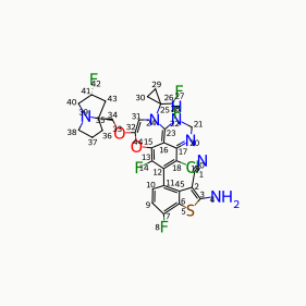 N#Cc1c(N)sc2c(F)ccc(-c3c(F)c4c5c(c3Cl)=NCNC=5N(C3(C(F)F)CC3)C=C(OC[C@@]35CCCN3C[C@H](F)C5)O4)c12